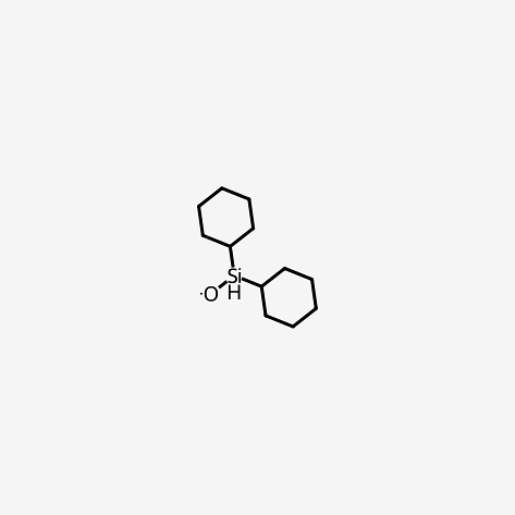 [O][SiH](C1CCCCC1)C1CCCCC1